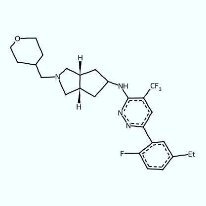 CCc1ccc(F)c(-c2cc(C(F)(F)F)c(NC3C[C@@H]4CN(CC5CCOCC5)C[C@@H]4C3)nn2)c1